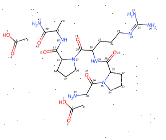 CC(=O)O.CC(=O)O.CC(NC(=O)C1CCCN1C(=O)C(CCCN=C(N)N)NC(=O)C1CCCN1C(=O)CN)C(N)=O